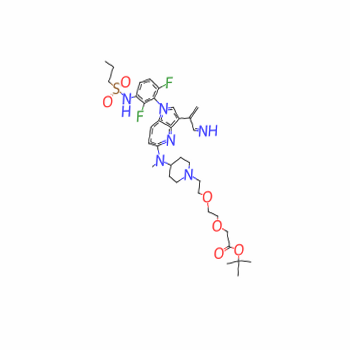 C=C(C=N)c1cn(-c2c(F)ccc(NS(=O)(=O)CCC)c2F)c2ccc(N(C)C3CCN(CCOCCOCC(=O)OC(C)(C)C)CC3)nc12